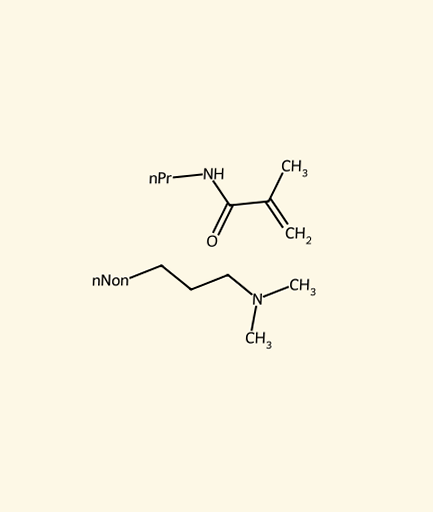 C=C(C)C(=O)NCCC.CCCCCCCCCCCCN(C)C